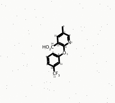 Cc1cnc(Oc2cccc(C(F)(F)F)c2)c(C(=O)O)c1